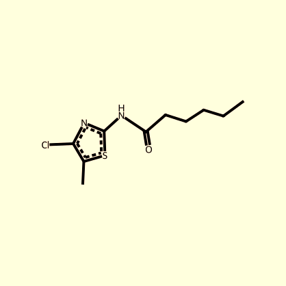 CCCCCC(=O)Nc1nc(Cl)c(C)s1